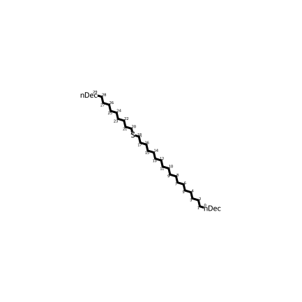 CCCCCCCCCCCCCCCCCCCCCCCCCCC[CH]SCCCCCCCCCCCCCCCCCCC